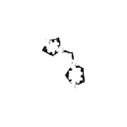 [CH](n1ccnc1)n1ccnc1